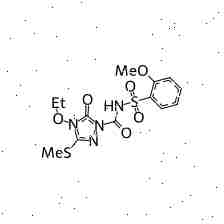 CCOn1c(SC)nn(C(=O)NS(=O)(=O)c2ccccc2OC)c1=O